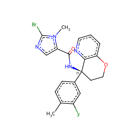 Cc1ccc([C@@]2(NC(=O)c3cnc(Br)n3C)CCOc3cccnc32)cc1F